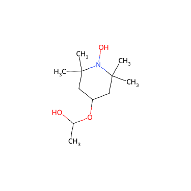 CC(O)OC1CC(C)(C)N(O)C(C)(C)C1